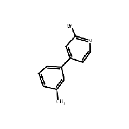 Cc1c[c]cc(-c2ccnc(Br)c2)c1